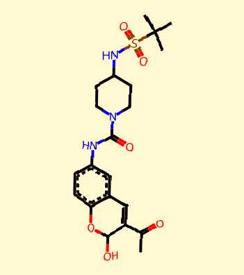 CC(=O)C1=Cc2cc(NC(=O)N3CCC(NS(=O)(=O)C(C)(C)C)CC3)ccc2OC1O